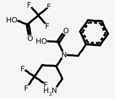 NCC(CC(F)(F)F)N(Cc1ccccc1)C(=O)O.O=C(O)C(F)(F)F